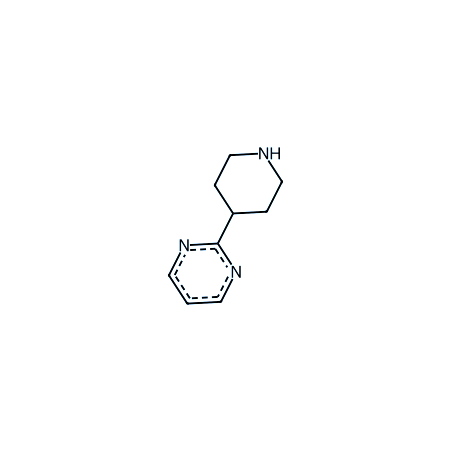 c1cnc(C2CCNCC2)nc1